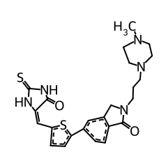 CN1CCN(CCCN2Cc3cc(-c4ccc(C=C5NC(=S)NC5=O)s4)ccc3C2=O)CC1